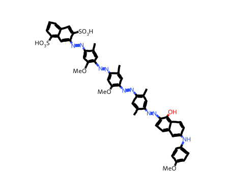 COc1ccc(Nc2ccc3c(O)c(N=Nc4cc(C)c(N=Nc5cc(C)c(N=Nc6cc(C)c(N=Nc7cc8c(S(=O)(=O)O)cccc8cc7S(=O)(=O)O)cc6OC)cc5OC)cc4C)ccc3c2)cc1